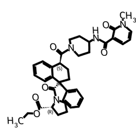 CCOC(=O)[C@H]1CCCN1C(=O)[C@@]1(c2ccccc2)CC[C@H](C(=O)N2CCC(NC(=O)c3cccn(C)c3=O)CC2)c2ccccc21